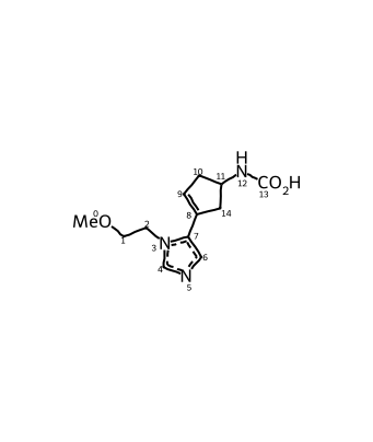 COCCn1cncc1C1=CCC(NC(=O)O)C1